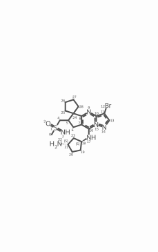 CS(=N)(=O)CC1Cc2c(nc3c(Br)cnn3c2N[C@H]2CC[C@H](N)C2)C12CCCC2